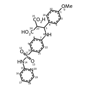 COc1ccc(C(Nc2ccc(S(=O)(=O)Nc3ccccn3)cc2)C(C(=O)O)C(=O)O)cc1